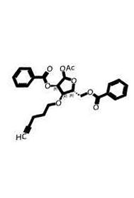 C#CCCCO[C@@H]1[C@@H](COC(=O)c2ccccc2)OC(OC(C)=O)[C@@H]1OC(=O)c1ccccc1